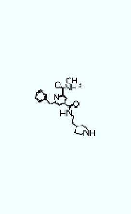 CNC(=O)c1cc(C(=O)NCCC2CCNCC2)cc(Cc2ccccc2)n1